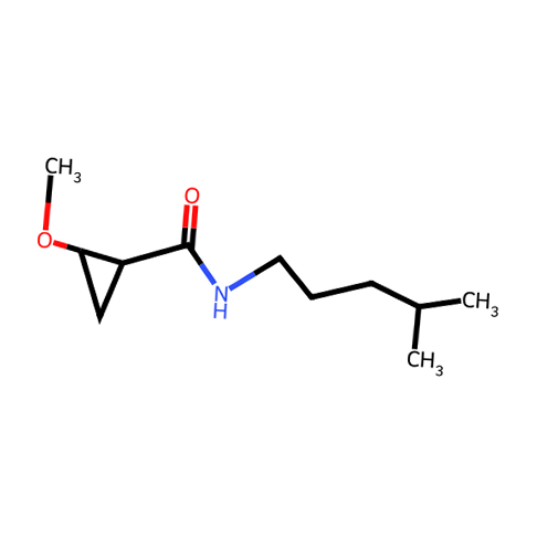 COC1CC1C(=O)NCCCC(C)C